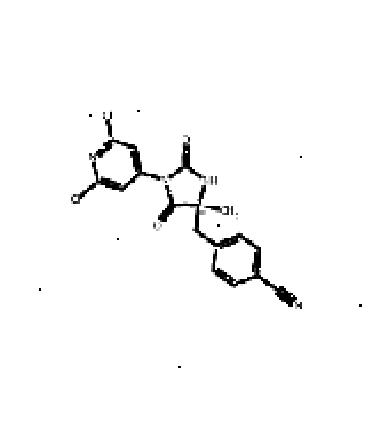 C[C@]1(Cc2ccc(C#N)cc2)NC(=O)N(c2cc(Cl)nc(Cl)c2)C1=O